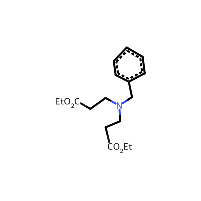 CCOC(=O)CCN(CCC(=O)OCC)Cc1ccccc1